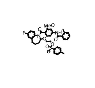 COc1cc(NC(=O)c2ccccc2C)ccc1C(=O)N1c2ccc(F)cc2CCCC1OCCOS(=O)(=O)c1ccc(C)cc1